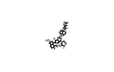 CCc1c(F)ccc2cc(O)cc(-c3ncc4c(N5CCOC[C@@](C)(O)C5)nc(OC[C@]56CCC[C@H]5N(C5CC7(C5)CS(=O)(=O)C7)CCC6)nc4c3F)c12